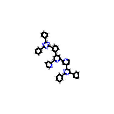 c1ccc(-c2cc(-c3ccnc(-c4cc(-c5cccc(-c6nc(-c7ccccc7)nc(-c7ccccc7)n6)c5)cc(-c5ccccn5)n4)c3)nc(-c3ccccc3)n2)cc1